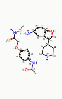 CON(C)C(=O)COc1ccc(NC(C)=O)cc1.Nc1ccc2occ(C3CCNCC3)c2c1